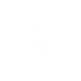 [CH]=CC=CCCCCC